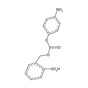 O=C(OCc1ccccc1S(=O)(=O)O)Oc1ccc([N+](=O)[O-])cc1